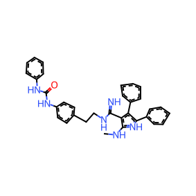 CNc1[nH]c(-c2ccccc2)c(-c2ccccc2)c1C(=N)NCCc1ccc(NC(=O)Nc2ccccc2)cc1